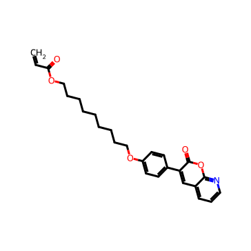 C=CC(=O)OCCCCCCCCCOc1ccc(-c2cc3cccnc3oc2=O)cc1